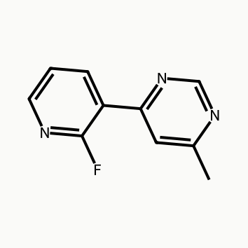 Cc1cc(-c2cccnc2F)ncn1